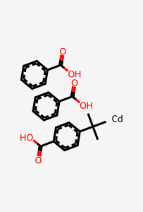 CC(C)(C)c1ccc(C(=O)O)cc1.O=C(O)c1ccccc1.O=C(O)c1ccccc1.[Cd]